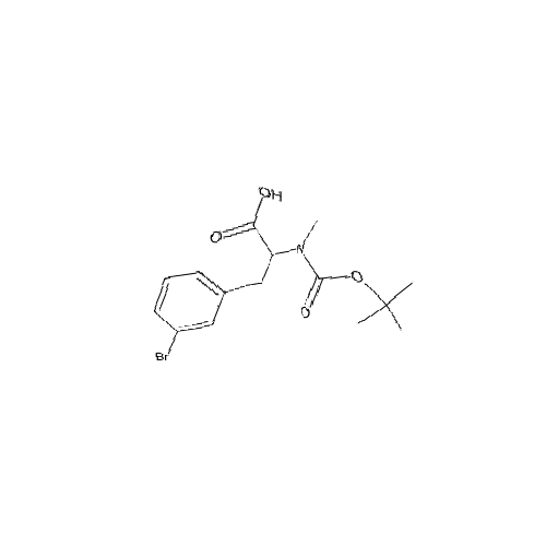 CN(C(=O)OC(C)(C)C)C(Cc1cccc(Br)c1)C(=O)O